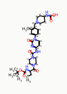 CCC(NC(=O)OC(C)(C)C)C(=O)N1CCN(C(=O)Nc2ccn(-c3ccc(CN4CCC(NC(=O)O)CC4)c(C)c3)c(=O)n2)CC1